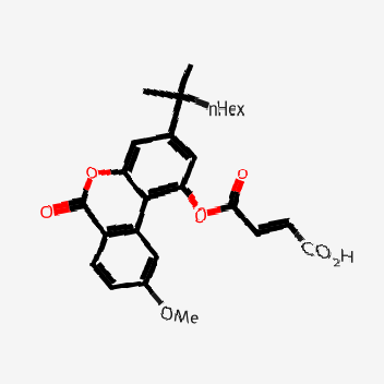 CCCCCCC(C)(C)c1cc(OC(=O)C=CC(=O)O)c2c(c1)oc(=O)c1ccc(OC)cc12